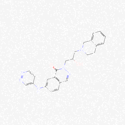 O=c1c2cc(Nc3ccnnc3)ccc2cnn1CC(O)CN1CCc2ccccc2C1